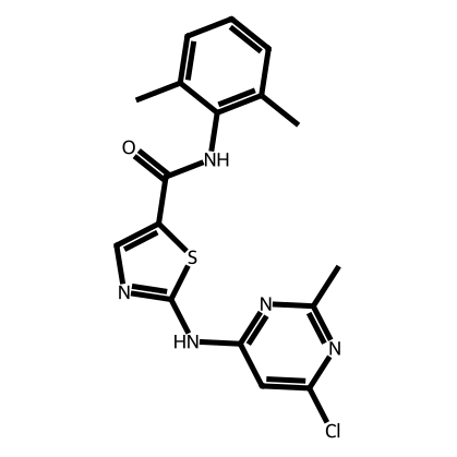 Cc1nc(Cl)cc(Nc2ncc(C(=O)Nc3c(C)cccc3C)s2)n1